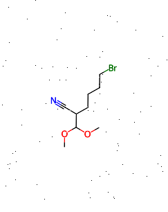 COC(OC)C(C#N)CCCCBr